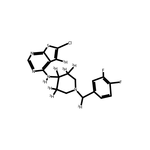 [2H]c1c(Cl)sc2ncnc(N([2H])C3([2H])C([2H])([2H])CN(C([2H])c4ccc(F)c(F)c4)CC3([2H])[2H])c12